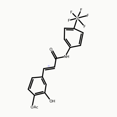 CC(=O)Oc1ccc(/C=C/C(=O)Nc2ccc(S(F)(F)(F)(F)F)cc2)cc1O